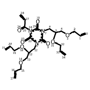 C=CCOCC(Cn1c(=O)n(CC(COCC=C)OCC=C)c(=O)n(C(=O)C=C)c1=O)OCC=C